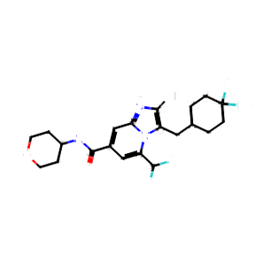 O=C(NC1CCOCC1)c1cc(C(F)F)n2c(CC3CCC(F)(F)CC3)c(C(F)(F)F)nc2c1